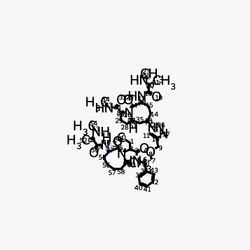 CCC(C(=O)N[C@H](COCc1cn([C@@H]2CC[C@H](NC(=O)[C@H](C)NC)C(=O)N3[C@H](CC[C@H]3C(=O)NC)C2)nn1)c1ccccc1)N1C(=O)/C(=N/C(=O)[C@H](C)NC)CCCC[C@H]1C